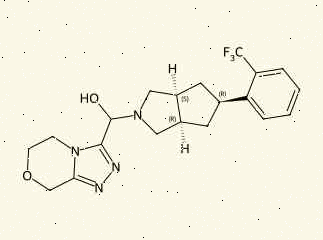 OC(c1nnc2n1CCOC2)N1C[C@H]2C[C@@H](c3ccccc3C(F)(F)F)C[C@H]2C1